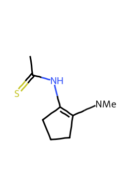 CNC1=C(NC(C)=S)CCC1